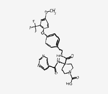 COc1ccc(Oc2ccc(CNC(=O)C3(NC(=O)c4cncnc4)CCN(C(=O)O)CC3)cc2)c(C(F)(F)F)c1